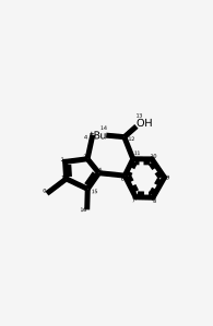 CC1=CC(C)C(c2ccccc2C(O)C(C)(C)C)=C1C